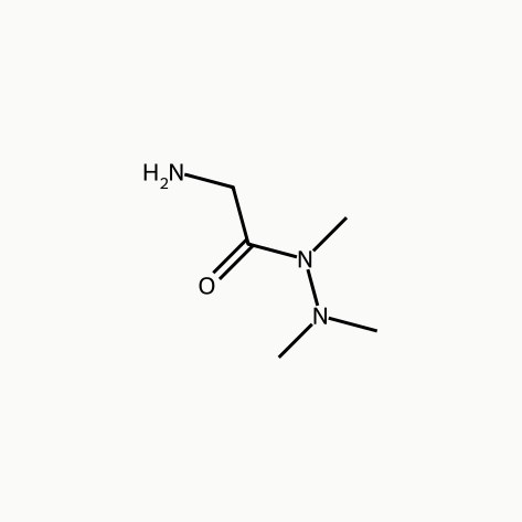 CN(C)N(C)C(=O)CN